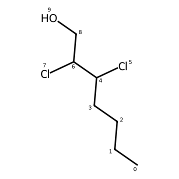 CCCCC(Cl)C(Cl)CO